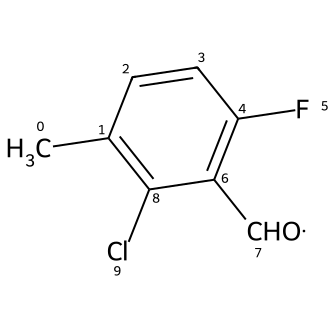 Cc1ccc(F)c([C]=O)c1Cl